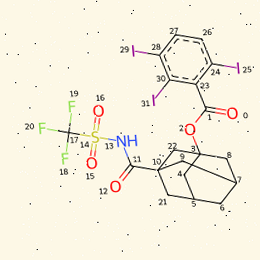 O=C(OC12CC3CC(C1)CC(C(=O)NS(=O)(=O)C(F)(F)F)(C3)C2)c1c(I)ccc(I)c1I